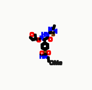 COCCNS(=O)(=O)c1ccc(/C(=N\O[C@@H]2CCOC2)C(=O)Nc2nc(C)ns2)cc1